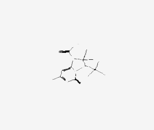 CC(C)(C)C1n2c(cc(Cl)nc2=O)N(C(=O)O)C1(C)C